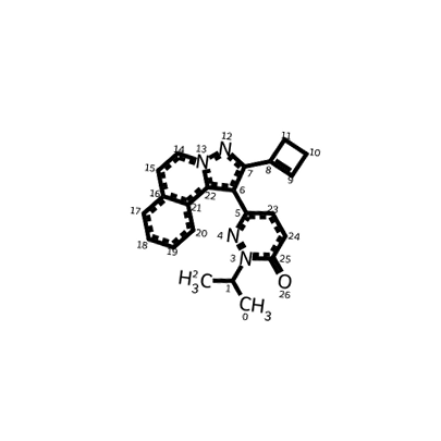 CC(C)n1nc(-c2c(C3=CCC3)nn3ccc4ccccc4c23)ccc1=O